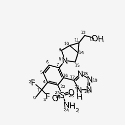 CC(F)(F)c1ccc(N2CC3C(CO)C3C2)c(-c2nnn[nH]2)c1S(N)(=O)=O